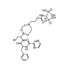 CC(C)CC(NC(=O)C(Cc1ccccc1)NC(=O)c1cnccn1)B1OCCN(CCOC(=O)NC(P(=O)(O)O)P(=O)(O)O)CCO1